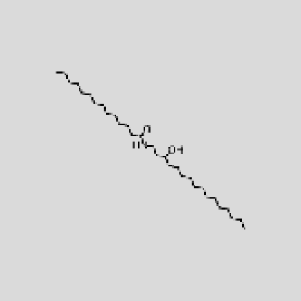 CCCCCCCCCCCCCC(=O)NCCC(O)CCCCCCCCCCCCC